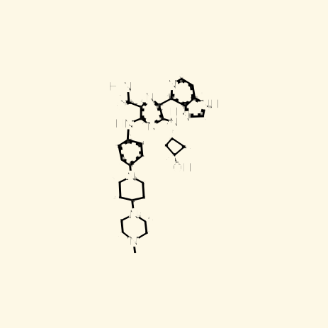 CN1CCN(C2CCN(c3ccc(Nc4nc(N[C@H]5C[C@H](O)C5)c(-c5nccc6[nH]cnc56)nc4C(N)=O)cc3)CC2)CC1